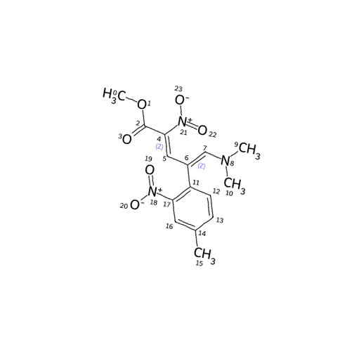 COC(=O)/C(=C/C(=C/N(C)C)c1ccc(C)cc1[N+](=O)[O-])[N+](=O)[O-]